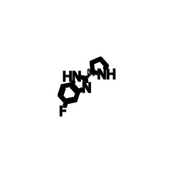 Fc1ccc2[nH]c([C@@H]3CCCN3)nc2c1